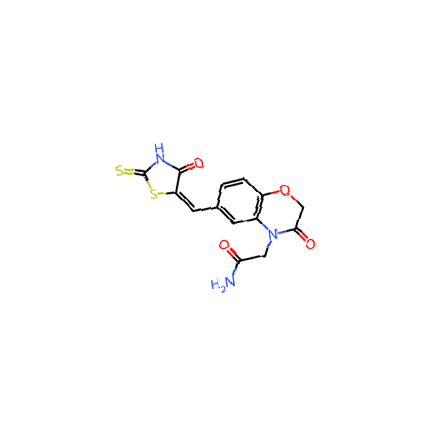 NC(=O)CN1C(=O)COc2ccc(C=C3SC(=S)NC3=O)cc21